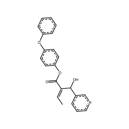 CC=C(C(=O)Oc1ccc(Oc2ccccc2)cc1)C(O)c1cccnc1